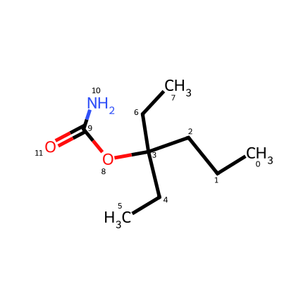 CCCC(CC)(CC)OC(N)=O